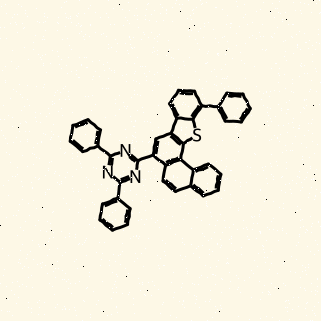 c1ccc(-c2nc(-c3ccccc3)nc(-c3cc4c5cccc(-c6ccccc6)c5sc4c4c3ccc3ccccc34)n2)cc1